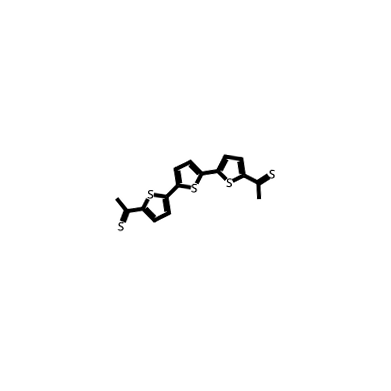 CC(=S)c1ccc(-c2ccc(-c3ccc(C(C)=S)s3)s2)s1